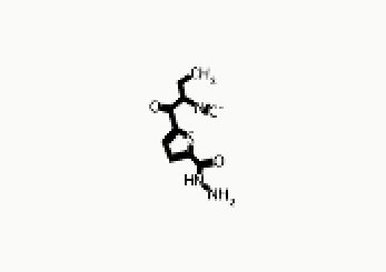 [C-]#[N+]C(CC)C(=O)c1ccc(C(=O)NN)s1